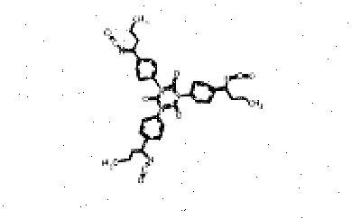 CCCC(N=C=O)c1ccc(-n2c(=O)n(-c3ccc(C(CCC)N=C=O)cc3)c(=O)n(-c3ccc(C(CCC)N=C=O)cc3)c2=O)cc1